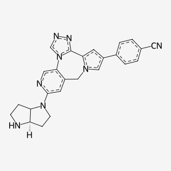 N#Cc1ccc(-c2cc3n(c2)Cc2cc(N4CC[C@H]5NCCC54)ncc2-n2cnnc2-3)cc1